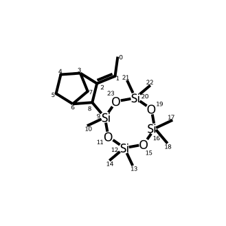 CC=C1C2CCC(C2)C1[Si]1(C)O[Si](C)(C)O[Si](C)(C)O[Si](C)(C)O1